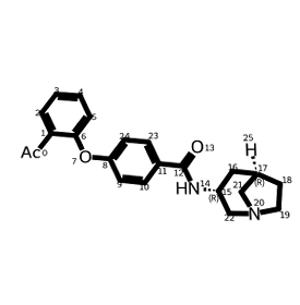 CC(=O)c1ccccc1Oc1ccc(C(=O)N[C@@H]2C[C@H]3CCN(C3)C2)cc1